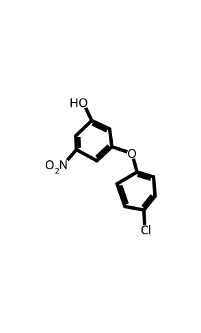 O=[N+]([O-])c1cc(O)cc(Oc2ccc(Cl)cc2)c1